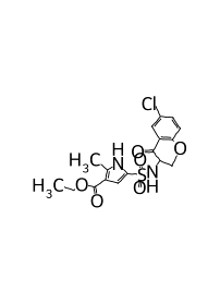 CCOC(=O)c1cc(S(=O)(=O)NC2COc3ccc(Cl)cc3C2=O)[nH]c1C